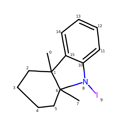 CC12CCCCC1(C)N(I)c1ccccc12